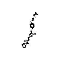 CC(C)COCCOc1ccc(OCC(O)CNCCNC(=O)N2CCOCC2)cc1